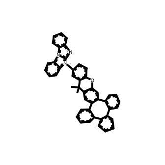 CC1(C)c2cc(-n3c4ccccc4n4c5ccccc5nc34)ccc2Oc2cc3c(cc21)-c1ccccc1-c1ccccc1-c1ccccc1-3